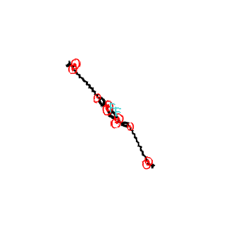 C=C(C)C(=O)OCCCCCCCCCCCCCCCOc1ccc(C(=O)Oc2ccc(OC(=O)c3ccc(OCCCCCCCCCCCCCCCOC(=O)C(=C)C)cc3)c(F)c2F)cc1